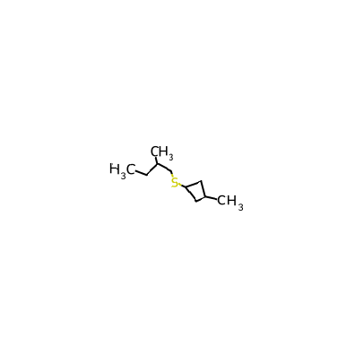 CCC(C)CSC1CC(C)C1